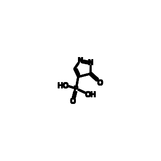 O=C1N=NC=C1P(=O)(O)O